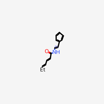 CCC=CC=CC(=O)N/C=C/c1ccccc1